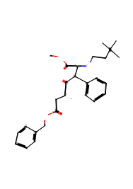 COC(=O)[C@@](C)(NCCC(C)(C)C)C(C(=O)[C@@H](N)CC(=O)OCc1ccccc1)c1ccccc1